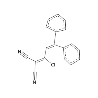 N#CC(C#N)=C(Cl)C=C(c1ccccc1)c1ccccc1